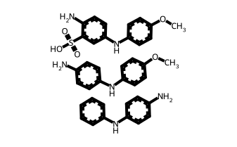 COc1ccc(Nc2ccc(N)c(S(=O)(=O)O)c2)cc1.COc1ccc(Nc2ccc(N)cc2)cc1.Nc1ccc(Nc2ccccc2)cc1